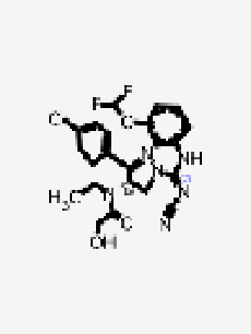 CCN(C(=O)CO)[C@H]1CN(/C(=N\C#N)Nc2cccc(OC(F)F)c2)N=C1C1=CC=C(Cl)CC1